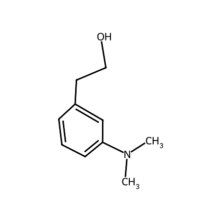 CN(C)c1cccc(CCO)c1